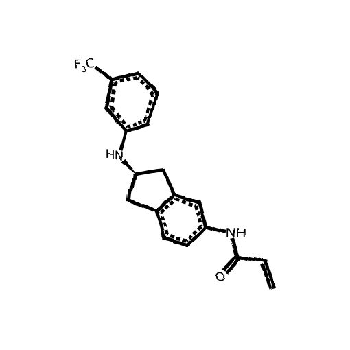 C=CC(=O)Nc1ccc2c(c1)C[C@H](Nc1cccc(C(F)(F)F)c1)C2